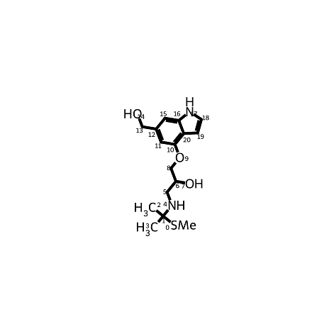 CSC(C)(C)NCC(O)COc1cc(CO)cc2[nH]ccc12